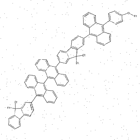 CCOc1ccc(-c2c3ccccc3c(-c3ccc4c(c3)C(CC)(CC)c3cc(-c5c6ccccc6c(-c6c7ccccc7c(-c7ccc8c(c7)C(CC)(CC)c7ccccc7-8)c7ccccc67)c6ccccc56)ccc3-4)c3ccccc23)cc1